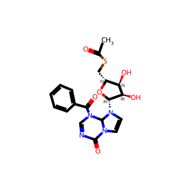 CC(=O)SC[C@H]1O[C@@H](N2C=CN3C(=O)N=CN(C(=O)c4ccccc4)C32)[C@H](O)[C@@H]1O